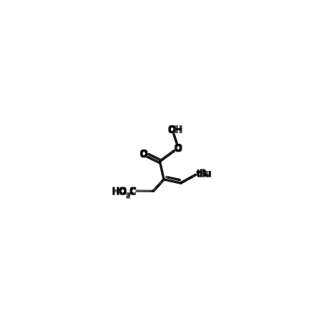 CC(C)(C)C=C(CC(=O)O)C(=O)OO